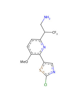 COc1ccc(C(CN)C(F)(F)F)nc1-c1cnc(Cl)s1